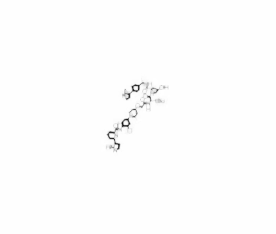 C[C@H](NC(=O)[C@@H]1C[C@@H](O)CN1C(=O)[C@@H](NC(=O)CO[C@H]1CCN(c2ccc(NC(=O)c3cccc(-c4ccn[nH]4)n3)c(Cl)c2)[C@@H](C)C1)C(C)(C)C)c1ccc(-c2ccnn2C)cc1